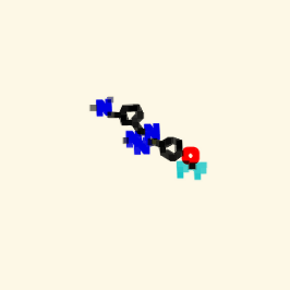 CN(C)Cc1cccc(-c2nc(-c3ccc(OC(F)F)cc3)nn2C)c1